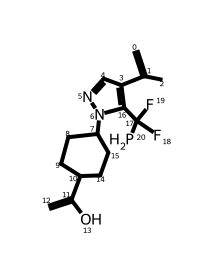 C=C(C)c1cnn(C2CCC(C(=C)O)CC2)c1C(F)(F)P